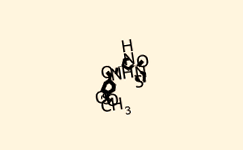 CS(=O)(=O)c1ccc(C(=O)NC[C@@H]2CN[C@H](C(=O)N3CCSC3)C2)cc1